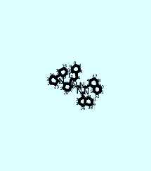 c1ccc2cc3c(cc2c1)c1c(-n2c4ccccc4c4ccccc42)cccc1n3-c1nc(-c2cccc3ccccc23)nc(-c2cccc3ccccc23)n1